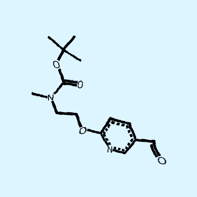 CN(CCOc1ccc(C=O)cn1)C(=O)OC(C)(C)C